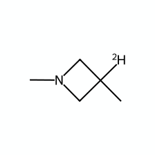 [2H]C1(C)CN(C)C1